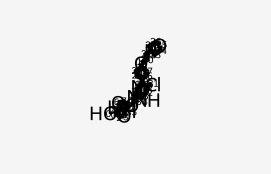 O[C@@H]1CO[C@H]2[C@@H]1OC[C@H]2Oc1nc2nc(-c3ccc(OCCN4CCOCC4)cc3)c(Cl)cc2[nH]1